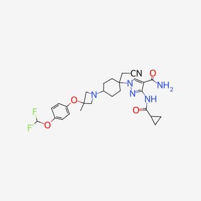 CC1(Oc2ccc(OC(F)F)cc2)CN(C2CCC(CC#N)(n3cc(C(N)=O)c(NC(=O)C4CC4)n3)CC2)C1